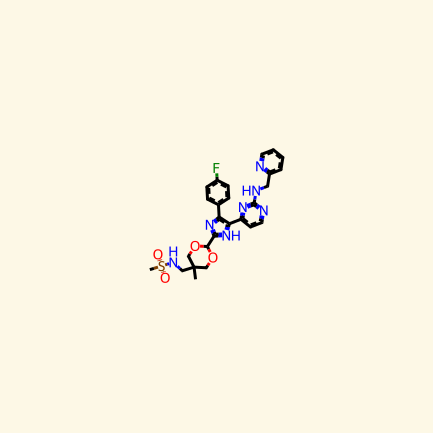 CC1(CNS(C)(=O)=O)COC(c2nc(-c3ccc(F)cc3)c(-c3ccnc(NCc4ccccn4)n3)[nH]2)OC1